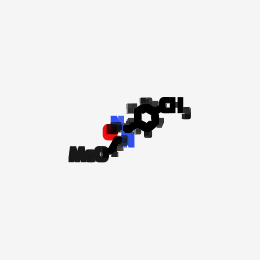 COCc1nc(-c2ccc(C)cc2)no1